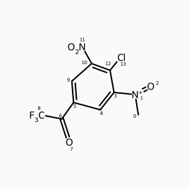 C[N+](=O)c1cc(C(=O)C(F)(F)F)cc([N+](=O)[O-])c1Cl